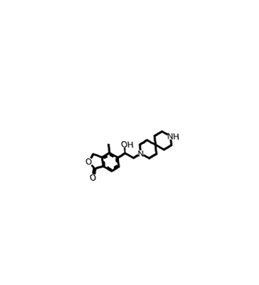 Cc1c([C@@H](O)CN2CCC3(CCNCC3)CC2)ccc2c1COC2=O